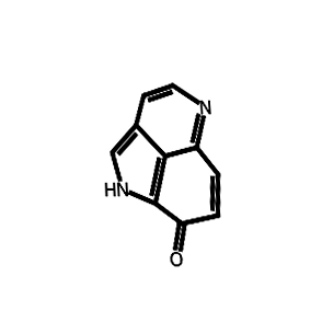 O=C1C=Cc2nccc3c[nH]c1c23